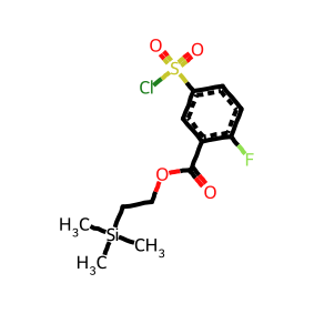 C[Si](C)(C)CCOC(=O)c1cc(S(=O)(=O)Cl)ccc1F